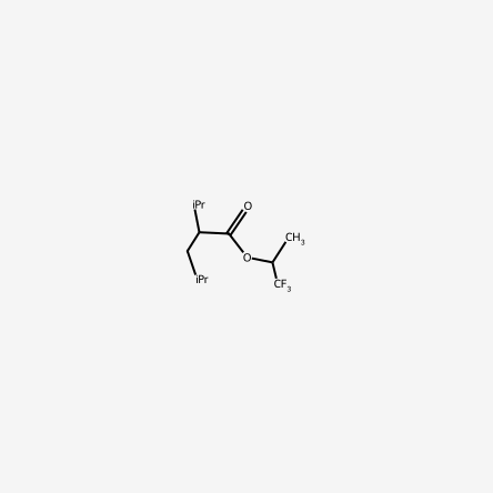 CC(C)CC(C(=O)OC(C)C(F)(F)F)C(C)C